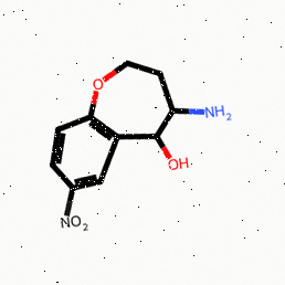 NC1CCOc2ccc([N+](=O)[O-])cc2C1O